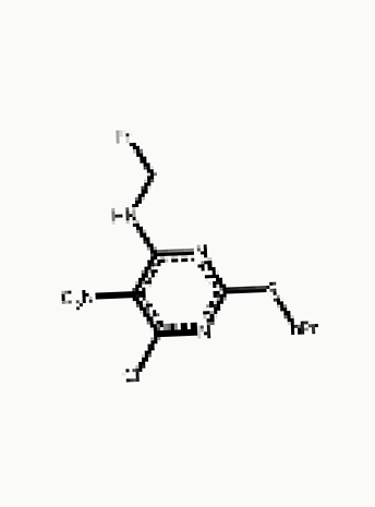 CCCSc1nc(Cl)c([N+](=O)[O-])c(NCC(C)C)n1